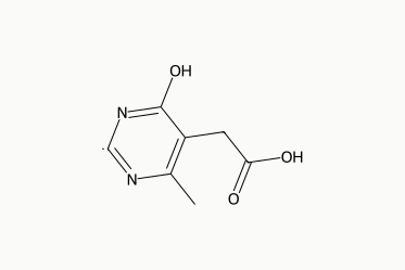 Cc1n[c]nc(O)c1CC(=O)O